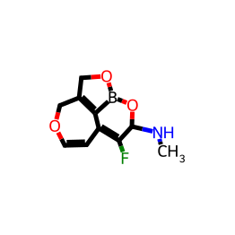 CNC1OB2OCC3=C2C(=C1F)C=COC3